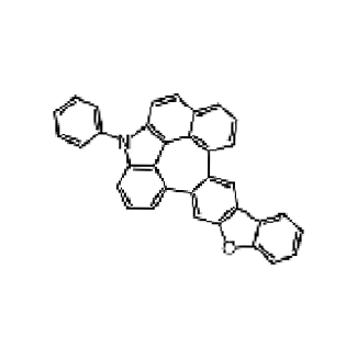 c1ccc(-n2c3cccc4c3c3c5c(cccc5ccc32)-c2cc3c(cc2-4)oc2ccccc23)cc1